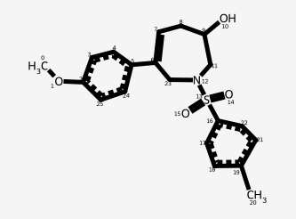 COc1ccc(C2=CCC(O)CN(S(=O)(=O)c3ccc(C)cc3)C2)cc1